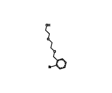 OCCOCCOCc1ccccc1Br